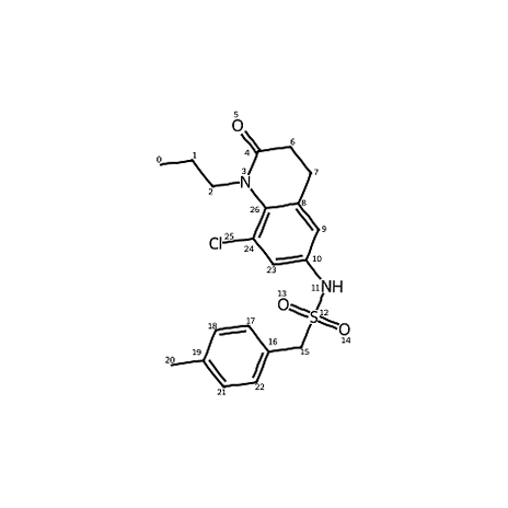 CCCN1C(=O)CCc2cc(NS(=O)(=O)Cc3ccc(C)cc3)cc(Cl)c21